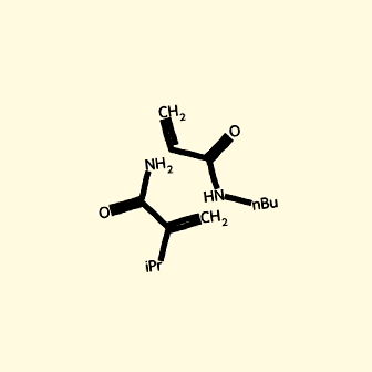 C=C(C(N)=O)C(C)C.C=CC(=O)NCCCC